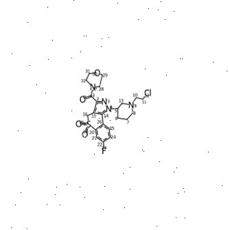 O=C(c1nn(C2CCCN(CCCl)C2)c2c1CS(=O)(=O)c1cc(F)ccc1-2)N1CCOCC1